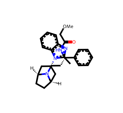 COCC(=O)N[C@@H](CCN1[C@@H]2CC[C@H]1C[C@H](n1c(C)nc3ccccc31)C2)c1ccccc1